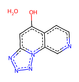 O.Oc1cc2nnnn2c2cnccc12